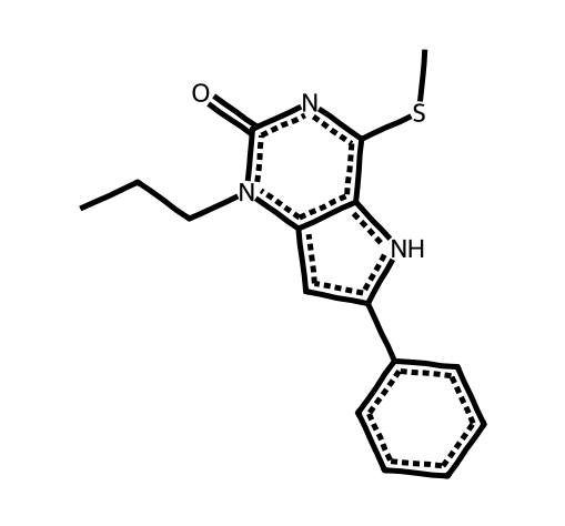 CCCn1c(=O)nc(SC)c2[nH]c(-c3ccccc3)cc21